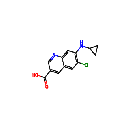 O=C(O)c1cnc2cc(NC3CC3)c(Cl)cc2c1